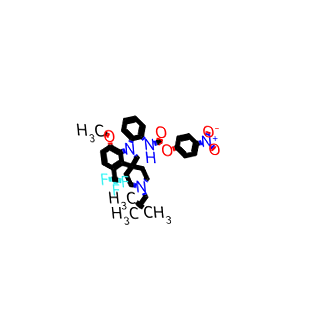 COc1ccc(C(F)(F)F)c2c1N(c1ccccc1NC(=O)Oc1ccc([N+](=O)[O-])cc1)CC21CCN(CC(C)(C)C)CC1